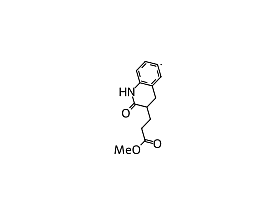 COC(=O)CCC1Cc2c[c]ccc2NC1=O